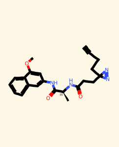 C#CCCC1(CCC(=O)N[C@@H](C)C(=O)Nc2cc(OC)c3ccccc3c2)N=N1